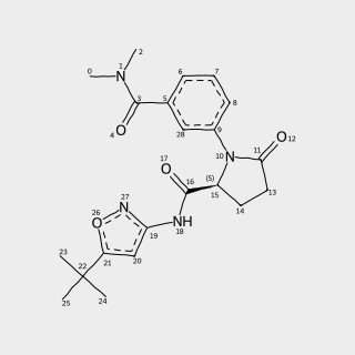 CN(C)C(=O)c1cccc(N2C(=O)CC[C@H]2C(=O)Nc2cc(C(C)(C)C)on2)c1